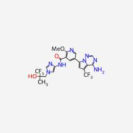 COc1ncc(-c2cc(C(F)(F)F)c3c(N)ncnn23)cc1C(=O)Nc1cn(CC(C)(O)C(F)(F)F)cn1